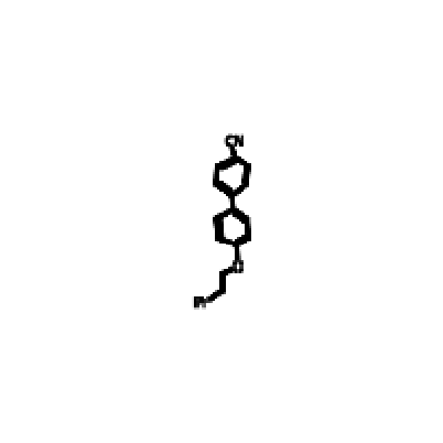 CC(C)CCOc1ccc(-c2ccc(C#N)cc2)cc1